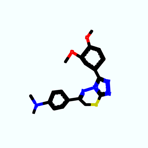 COc1ccc(-c2nnc3n2N=C(c2ccc(N(C)C)cc2)CS3)cc1OC